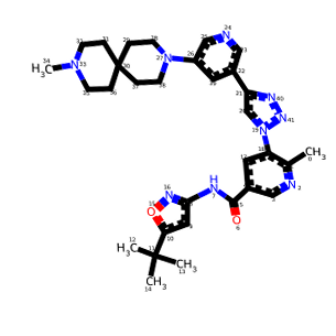 Cc1ncc(C(=O)Nc2cc(C(C)(C)C)on2)cc1-n1cc(-c2cncc(N3CCC4(CCN(C)CC4)CC3)c2)nn1